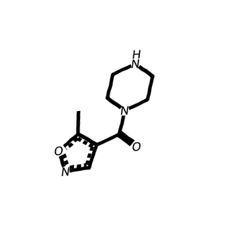 Cc1oncc1C(=O)N1CCNCC1